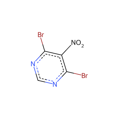 O=[N+]([O-])c1c(Br)ncnc1Br